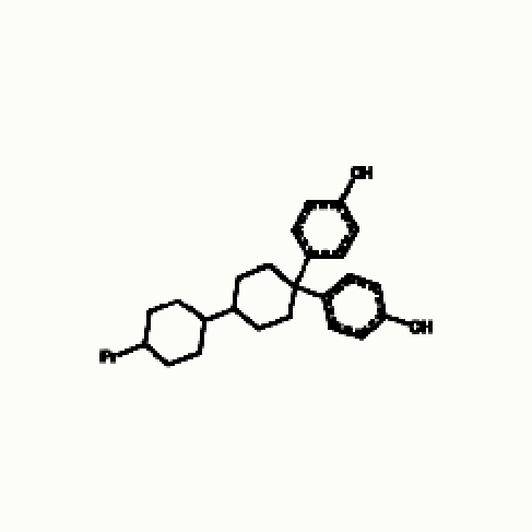 CC(C)C1CCC(C2CCC(c3ccc(O)cc3)(c3ccc(O)cc3)CC2)CC1